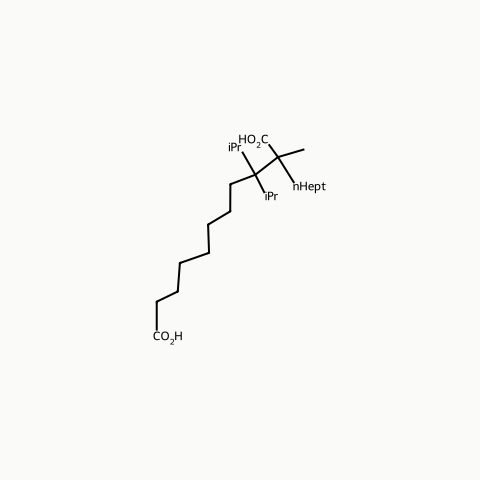 CCCCCCCC(C)(C(=O)O)C(CCCCCCCC(=O)O)(C(C)C)C(C)C